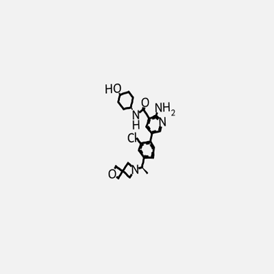 C[C@H](c1ccc(-c2cnc(N)c(C(=O)N[C@H]3CC[C@H](O)CC3)c2)c(Cl)c1)N1CC2(COC2)C1